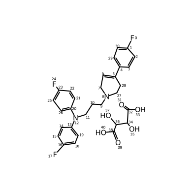 Fc1ccc(C2=CCN(CCCN(c3ccc(F)cc3)c3ccc(F)cc3)CC2)cc1.O=C(O)C(O)C(O)C(=O)O